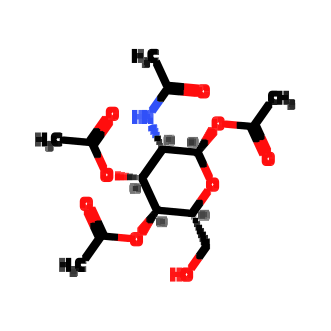 CC(=O)N[C@@H]1[C@@H](OC(C)=O)O[C@H](CO)[C@@H](OC(C)=O)[C@@H]1OC(C)=O